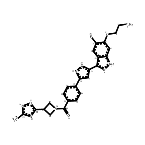 COCCOc1cc2[nH]nc(-c3cc(-c4ccc(C(=O)N5CC(c6nc(C)no6)C5)cc4)no3)c2cc1F